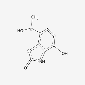 [CH2][C@@H](O)c1ccc(O)c2[nH]c(=O)sc12